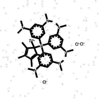 CC1=C(C)[C]([Ti+3])([Si](c2cc(N(C)C)cc(N(C)C)c2)(c2cc(N(C)C)cc(N(C)C)c2)c2cc(N(C)C)cc(N(C)C)c2)C(C)=C1C.[Cl-].[Cl-].[Cl-]